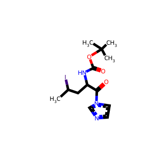 CC(I)CC(NC(=O)OC(C)(C)C)C(=O)n1ccnc1